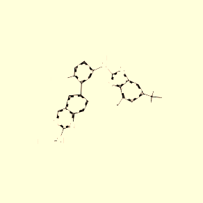 CNc1ncc2cc(-c3cc(Nc4nc5cc(C(F)(F)F)cc(Cl)c5[nH]4)ccc3C)ccc2n1